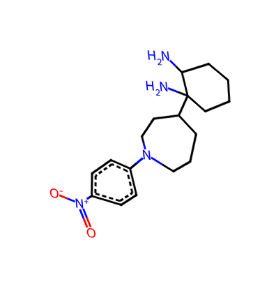 NC1CCCCC1(N)C1CCCN(c2ccc([N+](=O)[O-])cc2)CC1